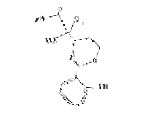 CCCC(=O)C(C)(C)[C@@H]1CCO[C@H](c2ccccc2C#N)O1